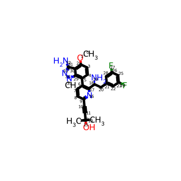 COc1ccc(-c2ccc(C#CC(C)(C)O)nc2[C@@H](N)Cc2cc(F)cc(F)c2)c2c1c(N)nn2C